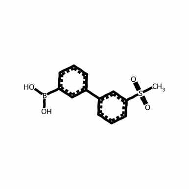 CS(=O)(=O)c1cccc(-c2cccc(B(O)O)c2)c1